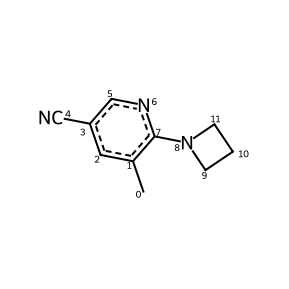 Cc1cc(C#N)cnc1N1CCC1